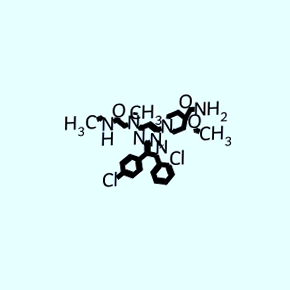 CCNC(=O)CN(C)c1cc(N2CCC(OCC)(C(N)=O)CC2)n2nc(-c3ccccc3Cl)c(-c3ccc(Cl)cc3)c2n1